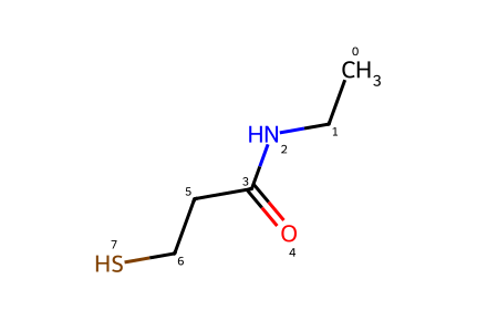 CCNC(=O)CCS